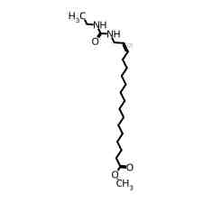 CCNC(=O)NC/C=C\CCCCCCCCCCCCCC(=O)OC